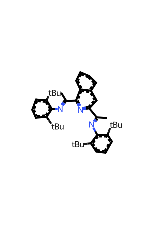 C/C(=N\c1c(C(C)(C)C)cccc1C(C)(C)C)c1cc2ccccc2c(/C(C)=N/c2c(C(C)(C)C)cccc2C(C)(C)C)n1